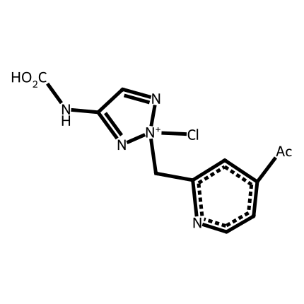 CC(=O)c1ccnc(C[N+]2(Cl)N=CC(NC(=O)O)=N2)c1